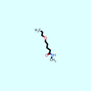 CCCOCCCCC(=O)NC